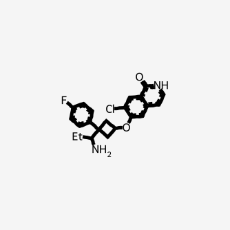 CCC(N)C1(c2ccc(F)cc2)CC(Oc2cc3cc[nH]c(=O)c3cc2Cl)C1